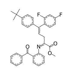 COC(=O)C(CC=C(c1ccc(C(C)(C)C)cc1)c1ccc(F)cc1F)=Nc1ccccc1C(=O)c1ccccc1